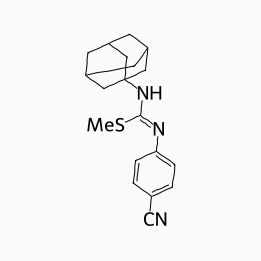 CS/C(=N\c1ccc(C#N)cc1)NC12CC3CC(CC(C3)C1)C2